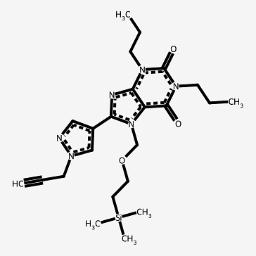 C#CCn1cc(-c2nc3c(c(=O)n(CCC)c(=O)n3CCC)n2COCC[Si](C)(C)C)cn1